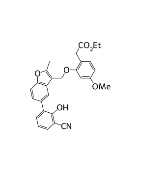 CCOC(=O)Cc1ccc(OC)cc1OCc1c(C)oc2ccc(-c3cccc(C#N)c3O)cc12